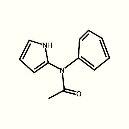 CC(=O)N(c1ccccc1)c1ccc[nH]1